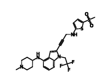 CN1CCC(Nc2cccc3c2cc(C#CCNc2ccc(S(C)(=O)=O)s2)n3CC(F)(F)F)CC1